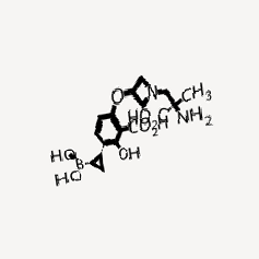 C[C@@](N)(CN1CC(Oc2ccc([C@@H]3C[C@@H]3B(O)O)c(O)c2C(=O)O)C1)C(=O)O